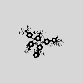 CC(C)(C)c1ccc(N(c2cc(N(c3ccc(C4CC(I)C(C)(C)C4(C)C)cc3)c3ccc(C4CC5CCC4(C)C5(C)C)cc3)cc(C(C)(C)C)c2)c2ccc(C(C)(C)C)cc2Br)cc1